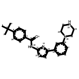 CC(C)(C)c1ccc(C(=O)Nc2nc(-c3cccc(N4CCNCC4)c3)cs2)cc1